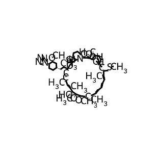 CO[C@@H]1C[C@H](C[C@@H](C)[C@@H]2CC[C@H](C)/C=C(\C)[C@@H](O)[C@@H](OC)C(=O)[C@H](C)C[C@H](C)/C=C/C=C/C=C(\C)C(CSC)C[C@@H]3CC[C@@H](C)[C@@](O)(O3)C(=O)C(=O)N3CCCC[C@H]3C(=O)O2)CC[C@@H]1n1cnnn1